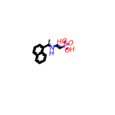 C[C@@H](N/C=C/P(=O)(O)O)c1cccc2ccccc12